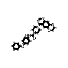 O=C(Nc1ccc(Oc2ccccc2)cc1)N1CCN(c2ncnc3cc4c(cc23)OCCO4)CC1